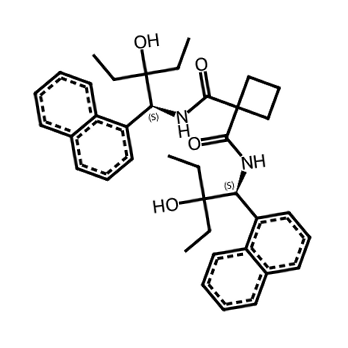 CCC(O)(CC)[C@@H](NC(=O)C1(C(=O)N[C@@H](c2cccc3ccccc23)C(O)(CC)CC)CCC1)c1cccc2ccccc12